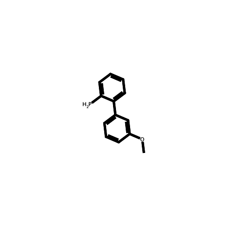 COc1cccc(-c2ccccc2P)c1